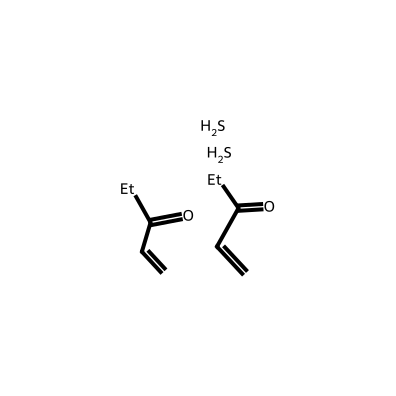 C=CC(=O)CC.C=CC(=O)CC.S.S